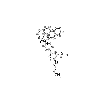 CCCCOc1ccc(N2CCN(S(=O)(=O)C3CCCc4ccc5c(ccc6ccccc65)c43)CC2)cc1CN